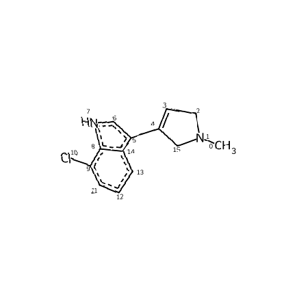 CN1CC=C(c2c[nH]c3c(Cl)cccc23)C1